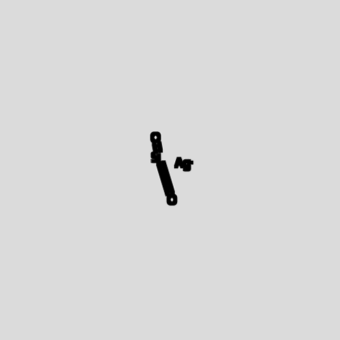 O=[Si]=O.[Ag]